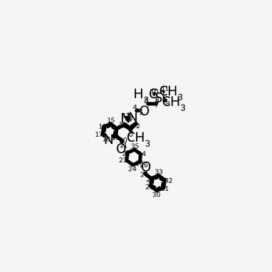 Cc1cn(COCC[Si](C)(C)C)nc1-c1cccnc1COC1CCC(OCc2ccccc2)CC1